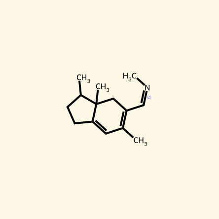 C/N=C\C1=C(C)C=C2CCC(C)C2(C)C1